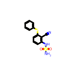 N#Cc1c(NS(N)(=O)=O)cccc1Sc1ccccc1